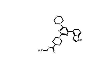 CCOC(=O)C1CCN(c2nc(-c3cccc4[nH]ccc34)cc(N3CCOCC3)n2)CC1